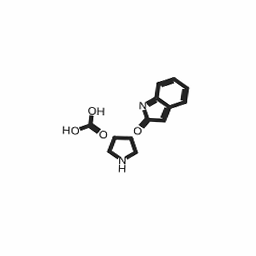 C1CCNC1.O=C(O)O.O=C1C=c2ccccc2=N1